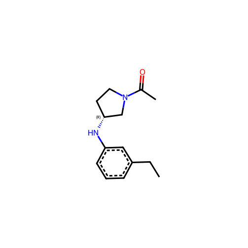 CCc1cccc(N[C@@H]2CCN(C(C)=O)C2)c1